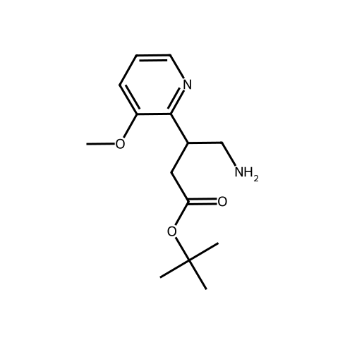 COc1cccnc1C(CN)CC(=O)OC(C)(C)C